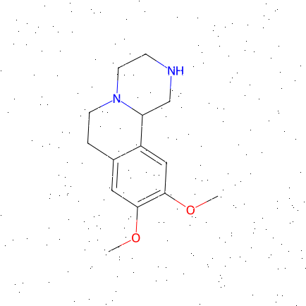 COc1cc2c(cc1OC)C1CNCCN1CC2